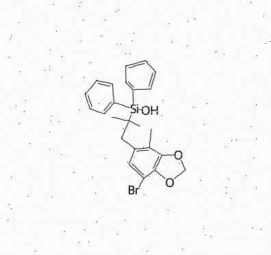 Cc1c(CC(C)(C)[Si](O)(c2ccccc2)c2ccccc2)cc(Br)c2c1OCO2